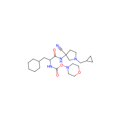 N#CC1(NC(=O)C(CC2CCCCC2)NC(=O)ON2CCOCC2)CCN(CC2CC2)C1